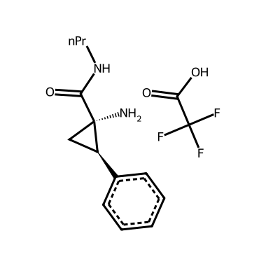 CCCNC(=O)[C@]1(N)C[C@@H]1c1ccccc1.O=C(O)C(F)(F)F